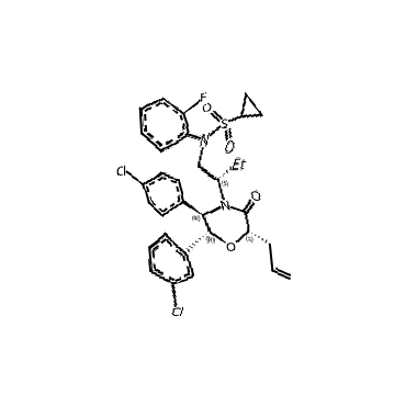 C=CC[C@@H]1O[C@H](c2cccc(Cl)c2)[C@@H](c2ccc(Cl)cc2)N([C@@H](CC)CN(c2ccccc2F)S(=O)(=O)C2CC2)C1=O